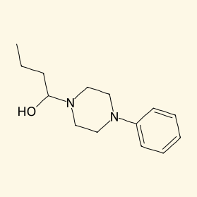 CCCC(O)N1CCN(c2ccccc2)CC1